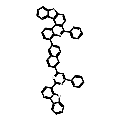 c1ccc(-c2cc(-c3ccc4cc(-c5cccc6c5nc(-c5ccccc5)c5ccc7sc8ccccc8c7c56)ccc4c3)nc(-c3cccc4c3oc3ccccc34)n2)cc1